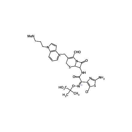 CNCCCn1ccc2c1ccc[n+]2CC1=C(C=O)N2C(=O)C(NC(=O)/C(=N\OC(C)(C)C(=O)O)c3nc(N)sc3Cl)C2SC1